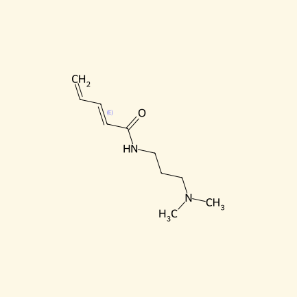 C=C/C=C/C(=O)NCCCN(C)C